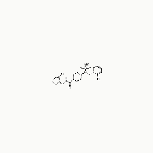 CC(=O)N1CCCC1CNC(=O)c1ccc(N(Cc2ccccc2Cl)S(C)(=O)=O)cc1